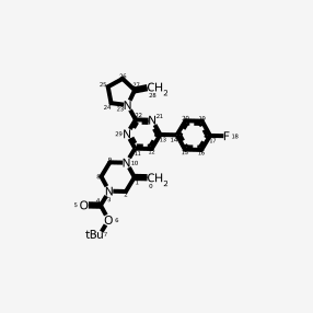 C=C1CN(C(=O)OC(C)(C)C)CCN1c1cc(-c2ccc(F)cc2)nc(N2CCCC2=C)n1